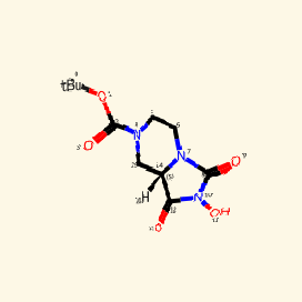 CC(C)(C)OC(=O)N1CCN2C(=O)N(O)C(=O)[C@@H]2C1